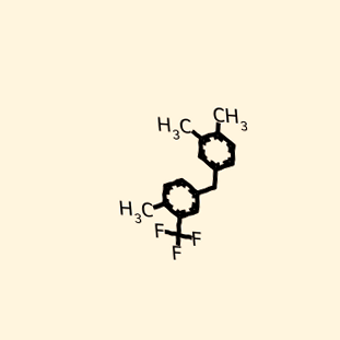 Cc1ccc(Cc2ccc(C)c(C(F)(F)F)c2)cc1C